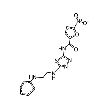 O=C(Nc1nnc(NCCNc2ccccc2)s1)c1ccc([N+](=O)[O-])o1